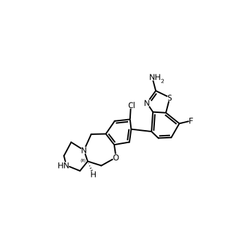 Nc1nc2c(-c3cc4c(cc3Cl)CN3CCNC[C@@H]3CO4)ccc(F)c2s1